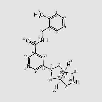 Cc1ccccc1CNC(=O)c1cncc(N2C[C@H]3CNC[C@H]3C2)c1